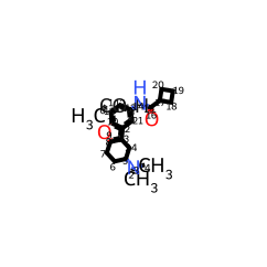 CC(=O)O.CN(C)C1CCc2oc3ccc(NC(=O)C4CCC4)cc3c2C1